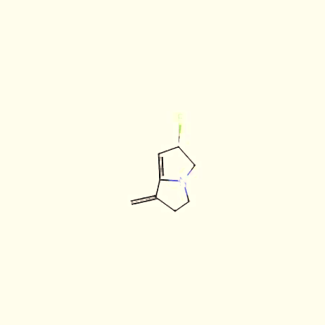 C=C1CCN2C[C@H](F)C=C12